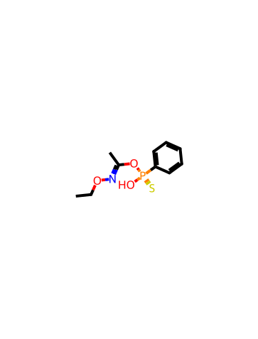 CCON=C(C)OP(O)(=S)c1ccccc1